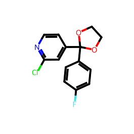 Fc1ccc(C2(c3ccnc(Cl)c3)OCCO2)cc1